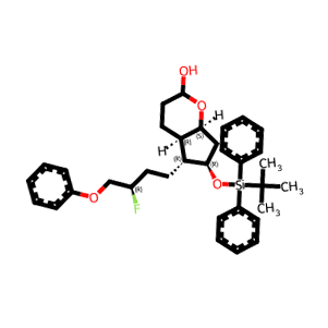 CC(C)(C)[Si](O[C@@H]1C[C@@H]2OC(O)CC[C@@H]2[C@H]1CC[C@@H](F)COc1ccccc1)(c1ccccc1)c1ccccc1